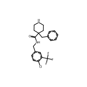 O=C(NCc1ccc(Cl)c(C(F)(F)F)c1)C1(Cc2ccccc2)CCNCC1